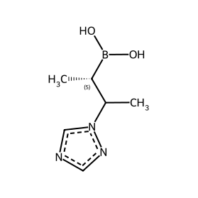 CC([C@H](C)B(O)O)n1cncn1